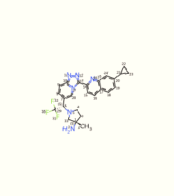 C[C@]1(N)CCN([C@@H](c2ccc3nnc(-c4ccc5ccc(C6CC6)cc5n4)n3c2)C(F)(F)F)C1